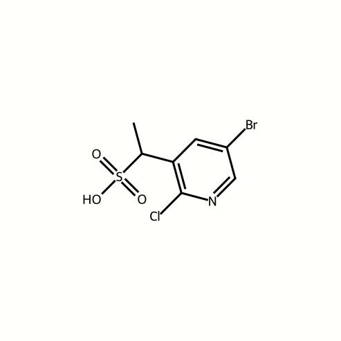 CC(c1cc(Br)cnc1Cl)S(=O)(=O)O